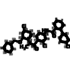 Cc1ccc(-c2ccccc2C(=O)Nc2ccc(C(=O)N(C)c3ccc(Cl)cc3OCc3ccccc3)c(Cl)c2)cc1